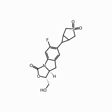 O=C1O[C@@H](CO)[C@@H]2Cc3cc(C4C5CS(=O)(=O)CC54)c(F)cc3N12